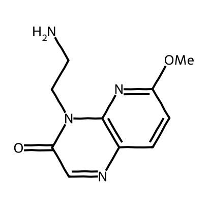 COc1ccc2ncc(=O)n(CCN)c2n1